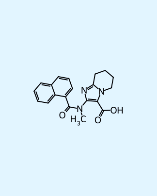 CN(C(=O)c1cccc2ccccc12)c1nc2n(c1C(=O)O)CCCC2